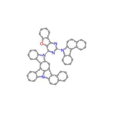 c1ccc2c(c1)ccc1c2c2ccccc2n1-c1nc(-n2c3ccccc3c3c4c5ccccc5n5c6ccc7ccccc7c6c(cc32)c45)c2oc3ccccc3c2n1